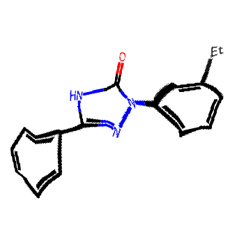 CCc1cccc(-n2nc(-c3ccccc3)[nH]c2=O)c1